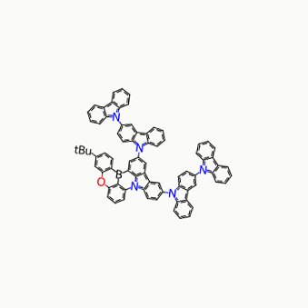 CC(C)(C)c1ccc2c(c1)Oc1cccc3c1B2c1cc(-n2c4ccccc4c4cc(-n5c6ccccc6c6ccccc65)ccc42)cc2c4cc(-n5c6ccccc6c6cc(-n7c8ccccc8c8ccccc87)ccc65)ccc4n-3c12